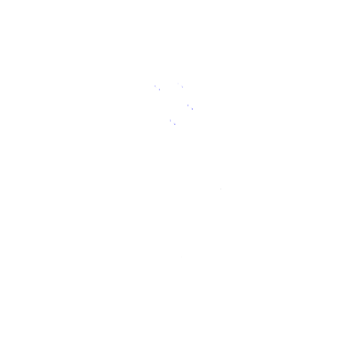 CCc1ccccc1-c1cc(C(=O)O)cc(-n2cnnn2)c1